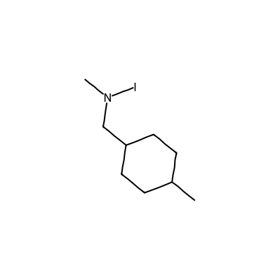 CC1CCC(CN(C)I)CC1